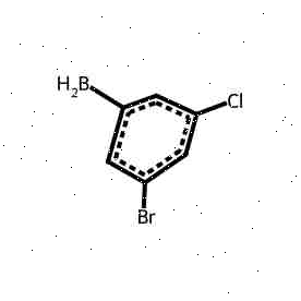 Bc1cc(Cl)cc(Br)c1